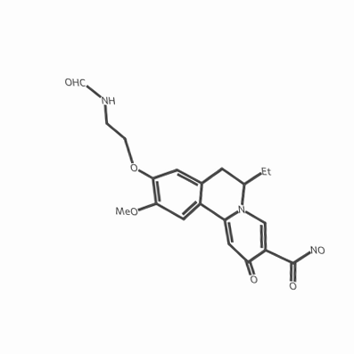 CCC1Cc2cc(OCCNC=O)c(OC)cc2-c2cc(=O)c(C(=O)N=O)cn21